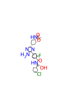 CS(=O)(=O)N[C@H]1CC[C@H](c2cnc(N)c(-c3ccc(C(=O)N[C@H](CO)C4CCC=C(Cl)C4)c(F)c3)n2)CC1